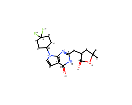 CC1(C)CC(Cc2nc3c(ccn3C3CCC(F)(F)CC3)c(=O)[nH]2)C(=O)O1